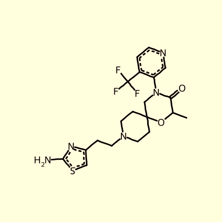 CC1OC2(CCN(CCc3csc(N)n3)CC2)CN(c2cnccc2C(F)(F)F)C1=O